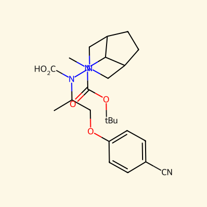 CC(COc1ccc(C#N)cc1)N(C(=O)O)N1CC2CCC(C1)C2N(C)C(=O)OC(C)(C)C